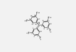 Fc1cc(F)cc([SH](c2cc(F)cc(F)c2)c2cc(F)cc(F)c2)c1